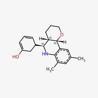 Cc1cc(C)c2c(c1)[C@H]1OCCC[C@H]1[C@H](C1C=CC=C(O)C1)N2